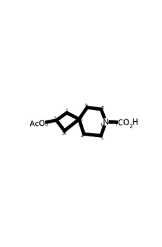 CC(=O)OC1CC2(CCN(C(=O)O)CC2)C1